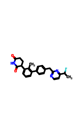 Cc1c(-c2ccc(Cc3nccc(C(C)F)n3)cc2)cccc1C1CCC(=O)NC1=O